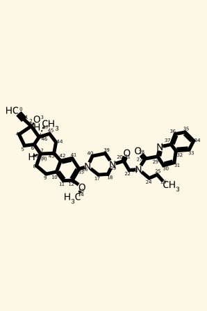 C#C[C@]1(O)CCC2[C@@H]3CCc4cc(OC)c(N5CCN(C(=O)CN(CCC)C(=O)c6ccc7ccccc7n6)CC5)cc4C3CC[C@@]21C